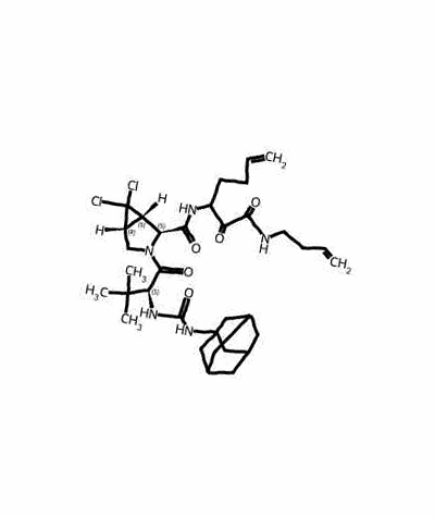 C=CCCNC(=O)C(=O)C(CCC=C)NC(=O)[C@@H]1[C@@H]2[C@H](CN1C(=O)[C@@H](NC(=O)NC13CC4CC(CC(C4)C1)C3)C(C)(C)C)C2(Cl)Cl